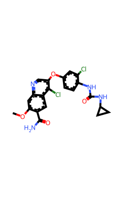 COc1cc2ncc(Oc3ccc(NC(=O)NC4CC4)c(Cl)c3)c(Cl)c2cc1C(N)=O